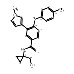 Cn1ccc(-c2cc(C(=O)NC3(CO)CC3)cnc2Oc2ccc(C(F)(F)F)cc2)n1